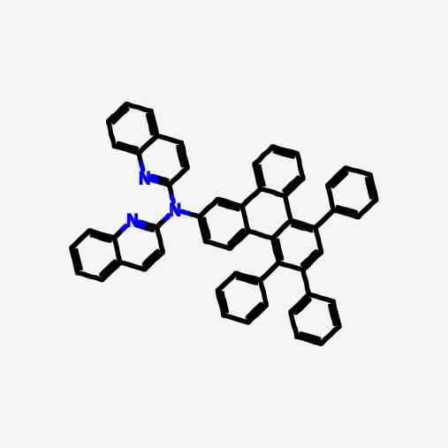 c1ccc(-c2cc(-c3ccccc3)c3c4ccccc4c4cc(N(c5ccc6ccccc6n5)c5ccc6ccccc6n5)ccc4c3c2-c2ccccc2)cc1